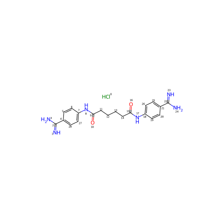 Cl.N=C(N)c1ccc(NC(=O)CCCCC(=O)Nc2ccc(C(=N)N)cc2)cc1